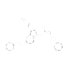 CN(CCc1ccccc1)C(=O)Cn1cc(/C=C/C#N)c2cc(OCc3ccccc3)ccc21